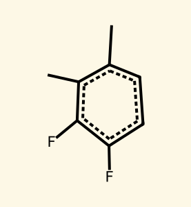 Cc1ccc(F)c(F)c1C